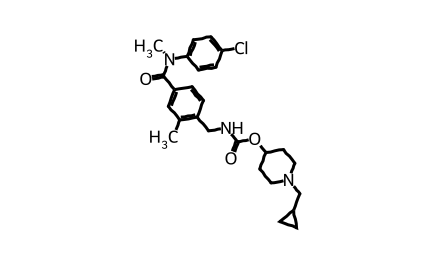 Cc1cc(C(=O)N(C)c2ccc(Cl)cc2)ccc1CNC(=O)OC1CCN(CC2CC2)CC1